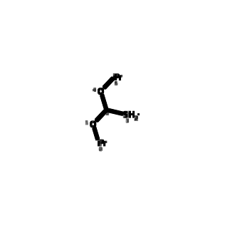 CC(C)OC([SiH2])OC(C)C